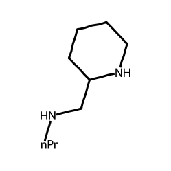 CCCNCC1CCCCN1